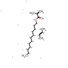 C=C(C)C(=O)OCCCCCCCCCCCC.CC=CC